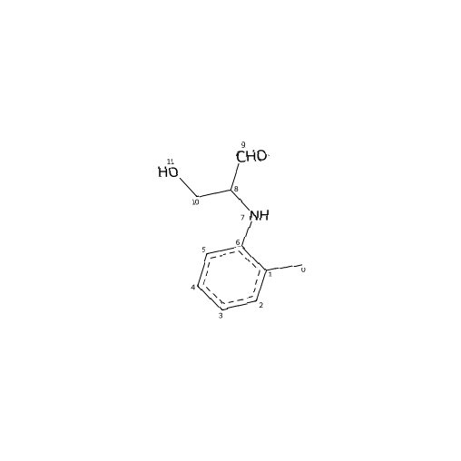 Cc1ccccc1NC([C]=O)CO